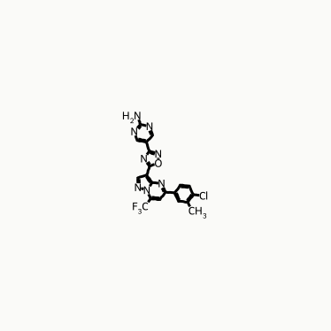 Cc1cc(-c2cc(C(F)(F)F)n3ncc(-c4nc(-c5cnc(N)nc5)no4)c3n2)ccc1Cl